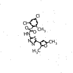 Cc1cc(-c2nnc(NS(=O)(=O)c3c(C)cc(Cl)cc3Cl)s2)c(C)o1